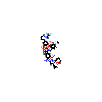 COc1ccc(CN(c2noc3cc(Nc4cc(C5CC5)n(C5CCCCO5)n4)c(OC)cc23)S(=O)(=O)c2c(OC)cc(C3CCCN3CC(F)F)cc2OC)cc1